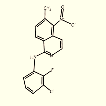 Cc1ccc2c(Nc3cccc(Cl)c3F)nccc2c1[N+](=O)[O-]